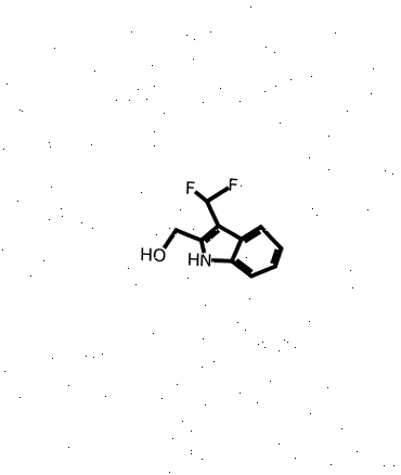 OCc1[nH]c2ccccc2c1C(F)F